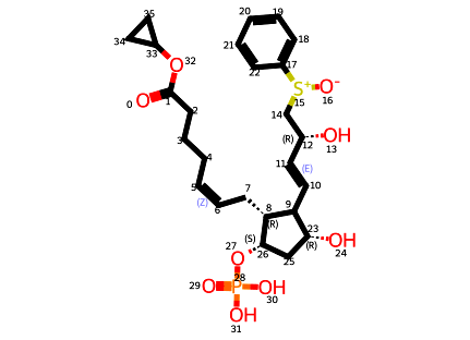 O=C(CCC/C=C\C[C@@H]1C(/C=C/[C@@H](O)C[S+]([O-])c2ccccc2)[C@H](O)C[C@@H]1OP(=O)(O)O)OC1CC1